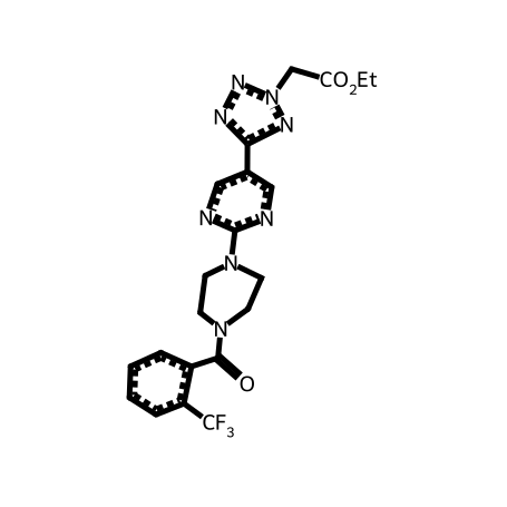 CCOC(=O)Cn1nnc(-c2cnc(N3CCN(C(=O)c4ccccc4C(F)(F)F)CC3)nc2)n1